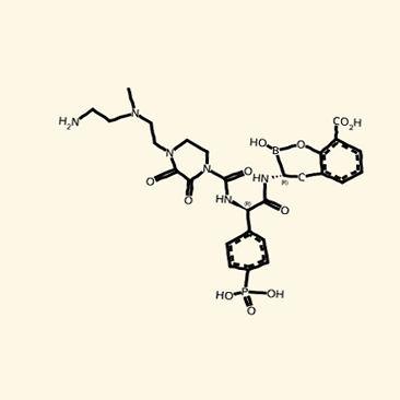 CN(CCN)CCN1CCN(C(=O)N[C@@H](C(=O)N[C@H]2Cc3cccc(C(=O)O)c3OB2O)c2ccc(P(=O)(O)O)cc2)C(=O)C1=O